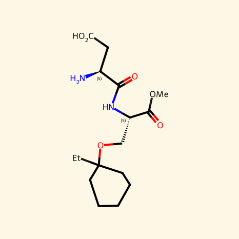 CCC1(OC[C@H](NC(=O)[C@@H](N)CC(=O)O)C(=O)OC)CCCCC1